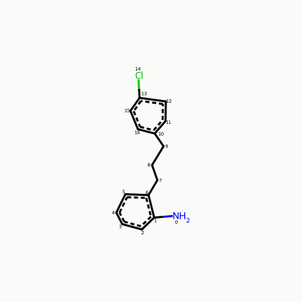 Nc1ccccc1CCCc1ccc(Cl)cc1